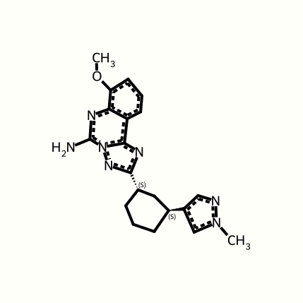 COc1cccc2c1nc(N)n1nc([C@H]3CCC[C@H](c4cnn(C)c4)C3)nc21